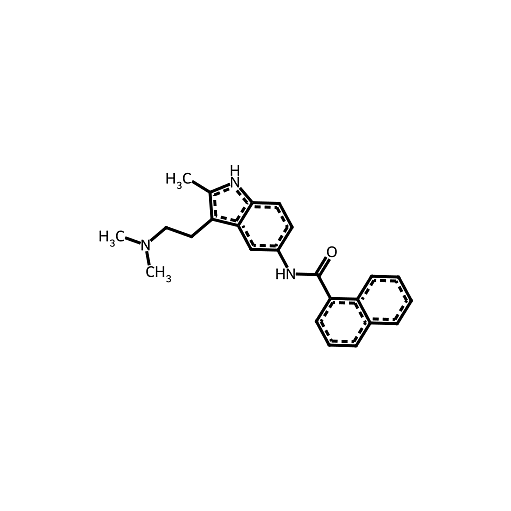 Cc1[nH]c2ccc(NC(=O)c3cccc4ccccc34)cc2c1CCN(C)C